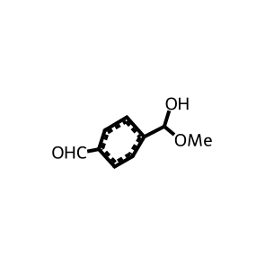 COC(O)c1ccc(C=O)cc1